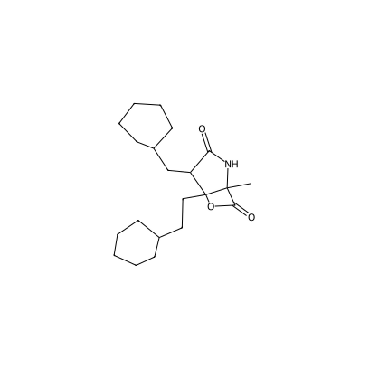 CC12NC(=O)C(CC3CCCCC3)C1(CCC1CCCCC1)OC2=O